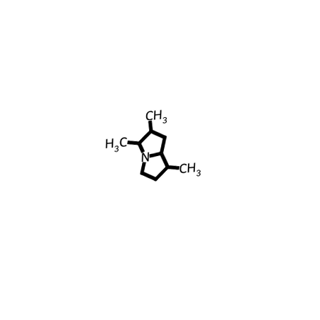 CC1CC2C(C)CCN2C1C